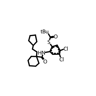 CC(C)(C)C(=O)Sc1cc(Cl)c(Cl)cc1NC(=O)C1(CCC2CCCC2)CCCCC1